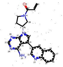 C=CC(=O)N1CC[C@@H](n2cc(-c3cnc4ccccc4c3)c3c(N)ncnc32)C1